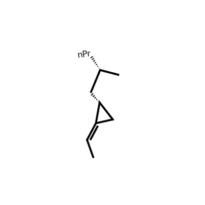 C/C=C1\C[C@H]1C[C@@H](C)CCC